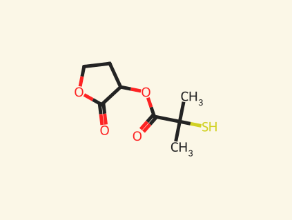 CC(C)(S)C(=O)OC1CCOC1=O